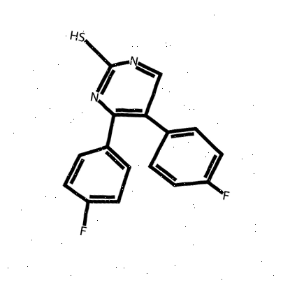 Fc1ccc(-c2cnc(S)nc2-c2ccc(F)cc2)cc1